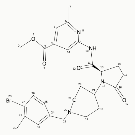 COC(=O)c1cc(C)nc(NC(=O)[C@H]2CCC(=O)N2C2CCN(Cc3ccc(Br)c(C)c3)CC2)c1